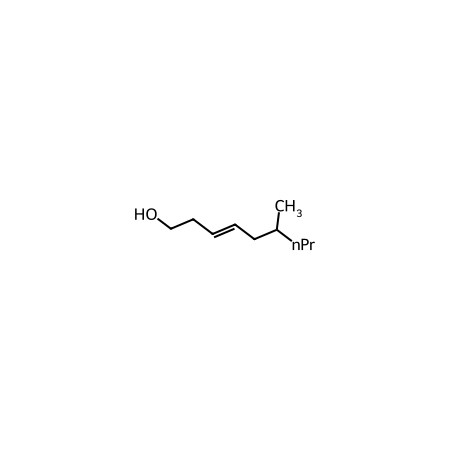 CCCC(C)CC=CCCO